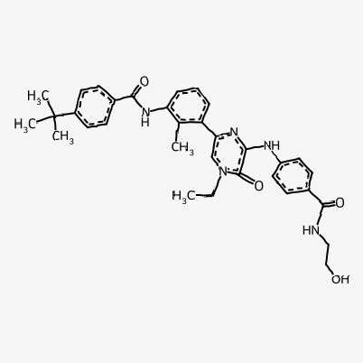 CCn1cc(-c2cccc(NC(=O)c3ccc(C(C)(C)C)cc3)c2C)nc(Nc2ccc(C(=O)NCCO)cc2)c1=O